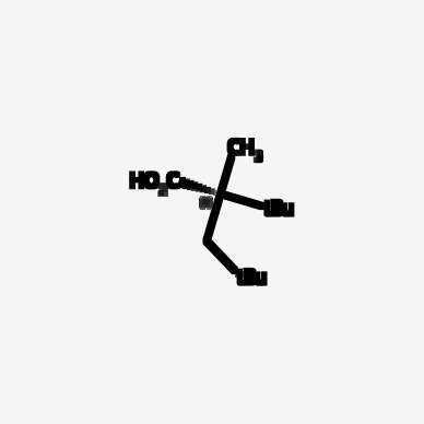 CC(C)(C)C[C@](C)(C(=O)O)C(C)(C)C